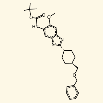 COc1cc2nc([C@H]3CC[C@H](COCc4ccccc4)CC3)sc2cc1NC(=O)OC(C)(C)C